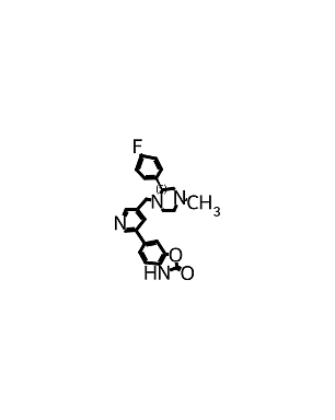 CN1CCN(Cc2cncc(-c3ccc4[nH]c(=O)oc4c3)c2)[C@@H](c2ccc(F)cc2)C1